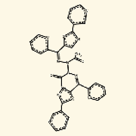 NC(=O)N(N=C(c1ccccn1)c1cnc(-c2cccnc2)s1)N(N=C(c1ccccn1)c1cnc(-c2cccnc2)s1)C(N)=O